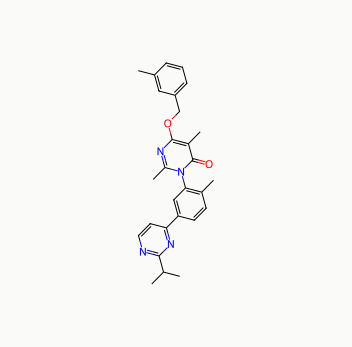 Cc1cccc(COc2nc(C)n(-c3cc(-c4ccnc(C(C)C)n4)ccc3C)c(=O)c2C)c1